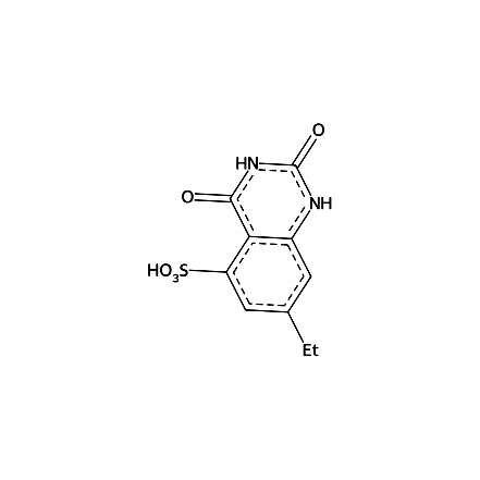 CCc1cc(S(=O)(=O)O)c2c(=O)[nH]c(=O)[nH]c2c1